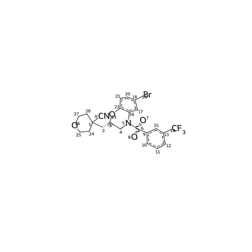 N#CC1(C[C@H]2CN(S(=O)(=O)c3cccc(C(F)(F)F)c3)c3cc(Br)ccc3O2)CCOCC1